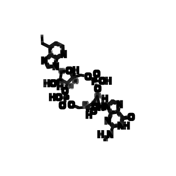 CCc1ccnc2c1ncn2[C@@H]1O[C@@H]2COP(=O)(O)O[C@@H]3[C@H](O)[C@@H](COP(=O)(O)O[C@H]2[C@H]1O)O[C@H]3n1cnc2c(=O)[nH]c(N)nc21